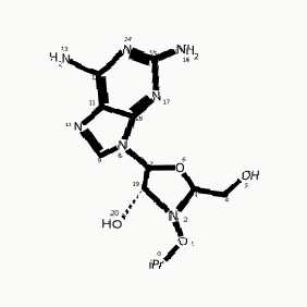 CC(C)ON1C(CO)OC(n2cnc3c(N)nc(N)nc32)[C@H]1O